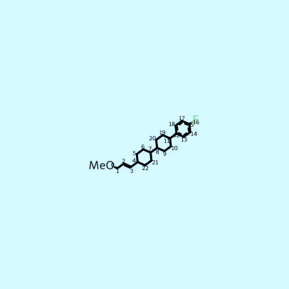 COCC=CC1CCC(C2CCC(c3ccc(F)cc3)CC2)CC1